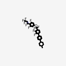 CC1CCC(c2ccc(-c3ccc(C(F)(F)Oc4cc(F)c(/C(F)=C/C(F)(F)F)c(F)c4)c(F)c3F)cc2)CC1